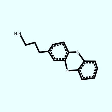 NCCCc1ccc2c(c1)Sc1ccccc1S2